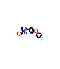 O=Cc1cccc(-c2ccc(Oc3ccc(F)cc3)cc2)n1